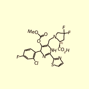 COC(=O)OC1=C(CN2CC(F)(F)C[C@H]2C(=O)O)NC(c2nccs2)=NC1c1ccc(F)cc1Cl